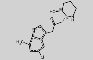 Cc1cc(Cl)cc2c1ncn2CC(=O)C[C@H]1NCCC[C@@H]1O